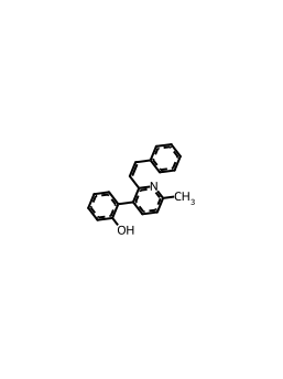 Cc1ccc(-c2ccccc2O)c(/C=C\c2ccccc2)n1